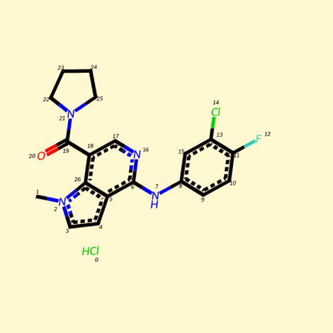 Cl.Cn1ccc2c(Nc3ccc(F)c(Cl)c3)ncc(C(=O)N3CCCC3)c21